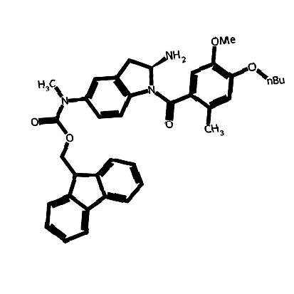 CCCCOc1cc(C)c(C(=O)N2c3ccc(N(C)C(=O)OCC4c5ccccc5-c5ccccc54)cc3C[C@H]2N)cc1OC